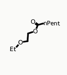 CCCCCC(=O)OCCOCC